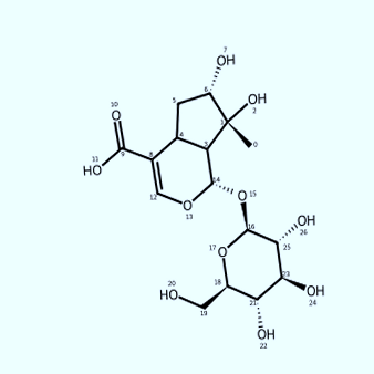 C[C@@]1(O)C2C(C[C@@H]1O)C(C(=O)O)=CO[C@H]2O[C@@H]1O[C@H](CO)[C@@H](O)[C@H](O)[C@H]1O